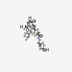 Cc1ccc2oc(-c3c4c(N)n[nH]c(=O)c4nn3C3CCN(C(=O)/C=C/CN4CCC(O)CC4)CC3)c(C)c2c1